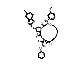 COc1cccc(N[C@H]2CCCCC/C=C\[C@@H]3C[C@@]3(C(=O)NOc3ccccc3)NC(=O)[C@@H]3C[C@@H](Oc4nc5ccc(C)cc5s4)CN3C2=O)c1